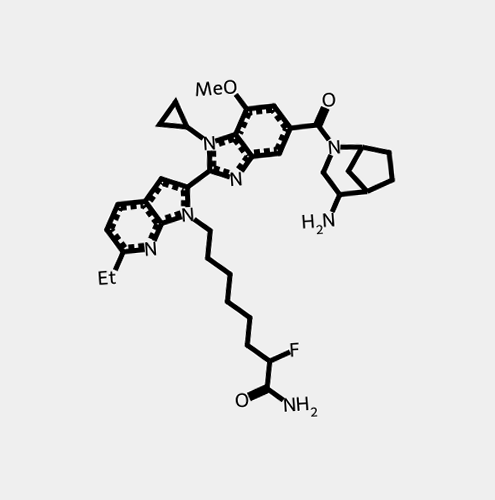 CCc1ccc2cc(-c3nc4cc(C(=O)N5CC(N)C6CCC5C6)cc(OC)c4n3C3CC3)n(CCCCCCC(F)C(N)=O)c2n1